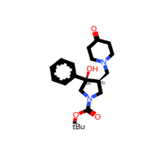 CC(C)(C)OC(=O)N1C[C@H](CN2CCC(=O)CC2)[C@@](O)(c2ccccc2)C1